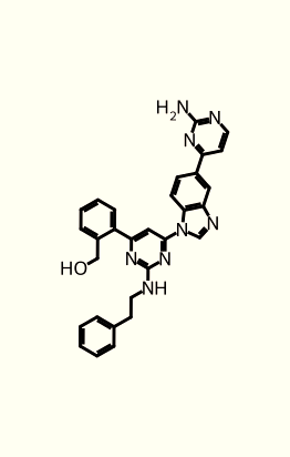 Nc1nccc(-c2ccc3c(c2)ncn3-c2cc(-c3ccccc3CO)nc(NCCc3ccccc3)n2)n1